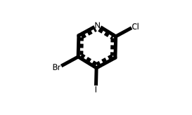 Clc1cc(I)c(Br)cn1